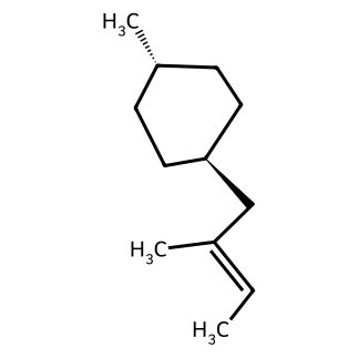 C/C=C(\C)C[C@H]1CC[C@H](C)CC1